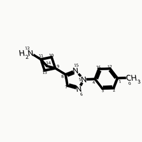 Cc1ccc(-n2ncc(C34CC(N)(C3)C4)n2)cc1